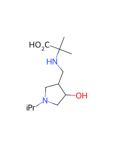 CC(C)N1CC(O)C(CNC(C)(C)C(=O)O)C1